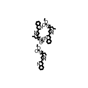 CC1CC2(CN(S(C)(=O)=O)C2)c2cc(-c3cnc4ccccc4c3)nn21.CCOC(=O)N1CC2(CC(C)n3nc(-c4cnc5ccccc5c4)cc32)C1.CCOC(=O)N1CC2(CCn3nc(-c4cnc5ccccc5c4)cc32)C1